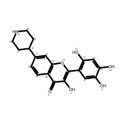 O=c1c(O)c(-c2cc(O)c(O)cc2O)oc2cc(C3CCNCC3)ccc12